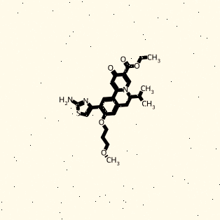 CCOC(=O)c1cn2c(cc1=O)-c1cc(-c3csc(N)n3)c(OCCCOC)cc1CC2C(C)C